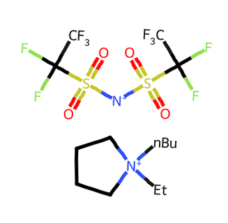 CCCC[N+]1(CC)CCCC1.O=S(=O)([N-]S(=O)(=O)C(F)(F)C(F)(F)F)C(F)(F)C(F)(F)F